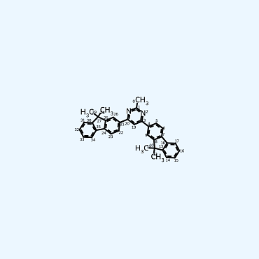 Cc1nc(-c2ccc3c(c2)C(C)(C)c2ccccc2-3)cc(-c2ccc3c(c2)C(C)(C)c2ccccc2-3)n1